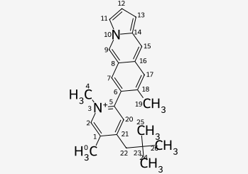 Cc1c[n+](C)c(-c2cc3cn4cccc4cc3cc2C)cc1CC(C)(C)C